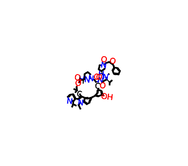 CCn1c(-c2cccnc2C(C)C)c2c3cc(ccc31)-c1cc(O)cc(c1)C[C@H](NC(=O)[C@H](C(C)C)N(C)C(=O)[C@H]1CCN(C(=O)C3OC3c3ccccc3)C1)C(=O)N1CCC[C@H](N1)C(=O)OCC(C)(C)C2